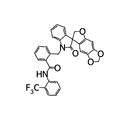 O=C(Nc1ccccc1C(F)(F)F)c1ccccc1CN1C(=O)C2(COc3cc4c(cc32)OCO4)c2ccccc21